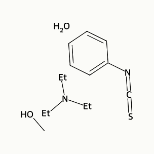 CCN(CC)CC.CO.O.S=C=Nc1ccccc1